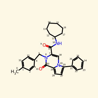 Cc1ccc(Cn2c(C(=O)NC3CCCCCC3)cn3c(-c4ccccc4)ccc3c2=O)cc1